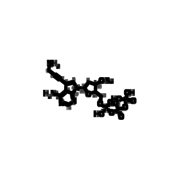 CC(C)CO[C@@H]1C[C@H](n2cc(C#CCN)c3c(N)ncnc32)OC1COP(=O)(O)OP(=O)(O)OP(=O)(O)O